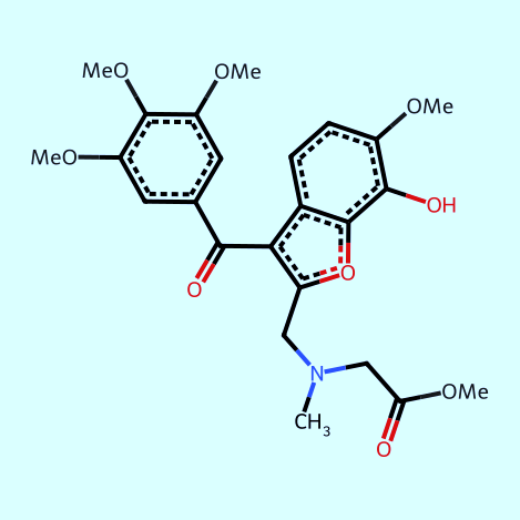 COC(=O)CN(C)Cc1oc2c(O)c(OC)ccc2c1C(=O)c1cc(OC)c(OC)c(OC)c1